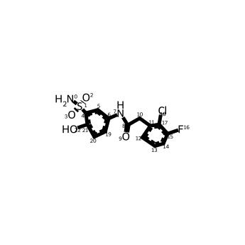 NS(=O)(=O)c1cc(NC(=O)Cc2cccc(F)c2Cl)ccc1O